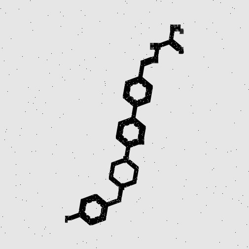 NC(=S)N/N=C/c1ccc(-c2ccc(N3CCN(Cc4ccc(F)cc4)CC3)nc2)cc1